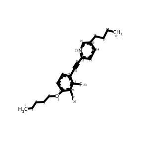 CCCCCOc1ccc(C#Cc2ccc(CCCC)cn2)c(F)c1F